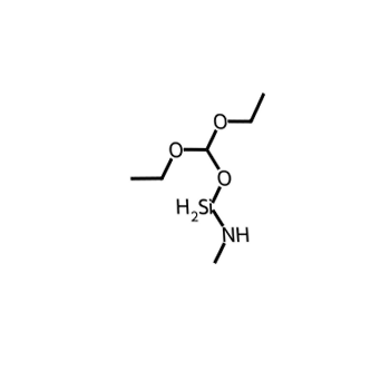 CCOC(OCC)O[SiH2]NC